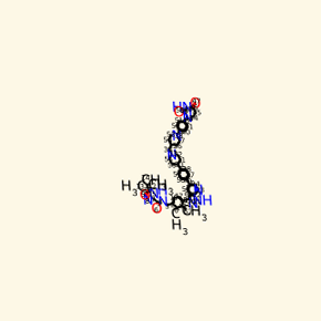 CC1C(CNC(=O)c2noc(C(C)(C)C)n2)=CC=C(c2n[nH]c3ncc(-c4ccc(C5CCN(CC6CCN(c7ccc(N8CCC(=O)NC8=O)cc7)CC6)CC5)cc4)cc23)C1C